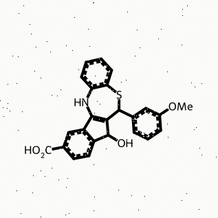 COc1cccc(C2Sc3ccccc3NC3=C2C(O)c2ccc(C(=O)O)cc23)c1